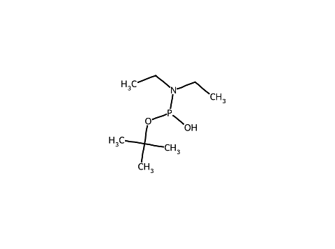 CCN(CC)P(O)OC(C)(C)C